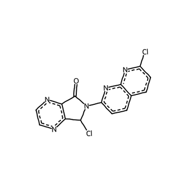 O=C1c2nccnc2C(Cl)N1c1ccc2ccc(Cl)nc2n1